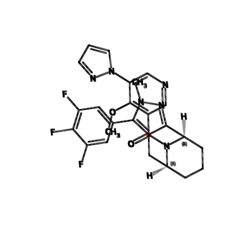 COc1c(C(=O)N2[C@H]3CCC[C@@H]2c2nn(C)c(-c4cc(F)c(F)c(F)c4)c2C3)cncc1-n1cccn1